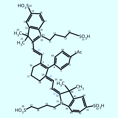 CC(=O)c1ccc(C2=C(/C=C/C3=[N+](CCCCS(=O)(=O)O)c4ccc(S(=O)(=O)O)cc4C3(C)C)CCC/C2=C\C=C2\N(CCCCS(=O)(=O)O)c3ccc(S(=O)(=O)O)cc3C2(C)C)cc1